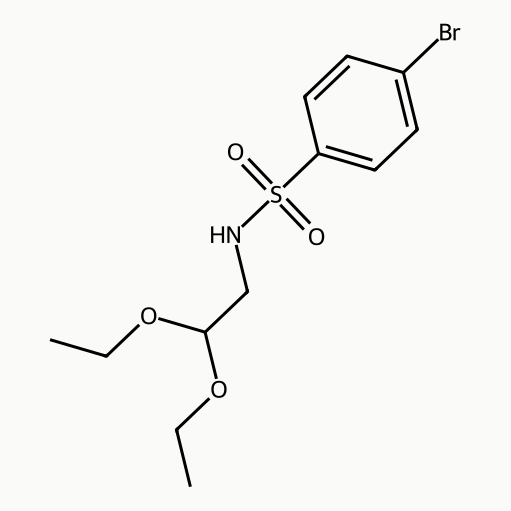 CCOC(CNS(=O)(=O)c1ccc(Br)cc1)OCC